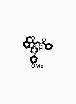 COc1ccc(N2CCN(C(CNC(=O)c3ccccc3)C3OCCc4ccccc43)CC2)cc1